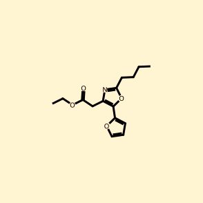 CCCCc1nc(CC(=O)OCC)c(-c2ccco2)o1